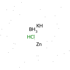 B.Cl.[KH].[Zn]